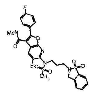 CCc1cc2c(C(=O)NC)c(-c3ccc(F)cc3)oc2nc1N(CCCN1Cc2ccccc2S1(=O)=O)S(C)(=O)=O